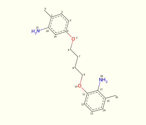 Cc1ccc(OCCCCOc2cccc(C)c2N)cc1N